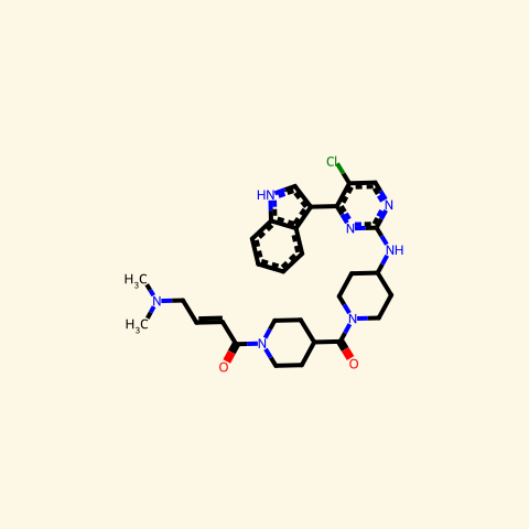 CN(C)C/C=C/C(=O)N1CCC(C(=O)N2CCC(Nc3ncc(Cl)c(-c4c[nH]c5ccccc45)n3)CC2)CC1